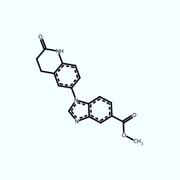 COC(=O)c1ccc2c(c1)ncn2-c1ccc2c(c1)CCC(=O)N2